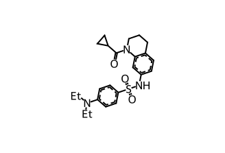 CCN(CC)c1ccc(S(=O)(=O)Nc2ccc3c(c2)N(C(=O)C2CC2)CCC3)cc1